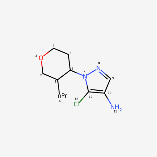 CCCC1COCCC1n1ncc(N)c1Cl